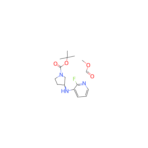 CC(C)(C)OC(=O)N1CC[C@H](Nc2cccnc2F)C1.COC=O